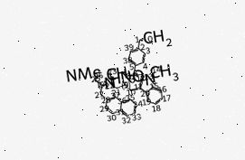 C=Cc1ccc(C(=O)N[C@@H](Cc2cn(C)c3ccccc23)CN(C)[C@H](CNC)Cc2ccc3ccccc3c2)cc1